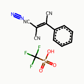 N#CC(C#N)=C(C#N)c1ccccc1.N#N.O=S(=O)(O)C(F)(F)F